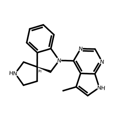 Cc1c[nH]c2ncnc(N3C[C@]4(CCNC4)c4ccccc43)c12